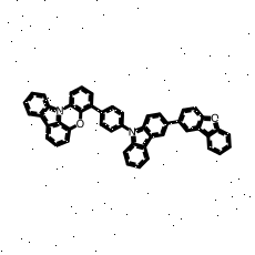 c1cc(-c2ccc(-n3c4ccccc4c4cc(-c5ccc6oc7ccccc7c6c5)ccc43)cc2)c2c(c1)-n1c3ccccc3c3cccc(c31)O2